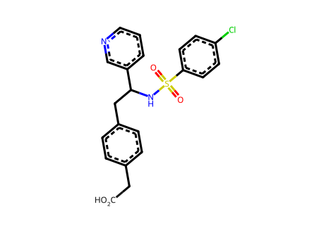 O=C(O)Cc1ccc(CC(NS(=O)(=O)c2ccc(Cl)cc2)c2cccnc2)cc1